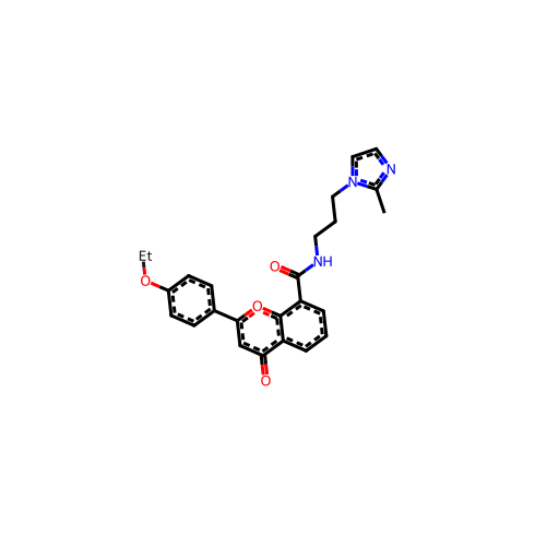 CCOc1ccc(-c2cc(=O)c3cccc(C(=O)NCCCn4ccnc4C)c3o2)cc1